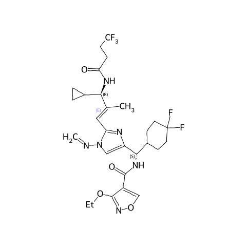 C=Nn1cc([C@@H](NC(=O)c2conc2OCC)C2CCC(F)(F)CC2)nc1/C=C(\C)[C@H](NC(=O)CCC(F)(F)F)C1CC1